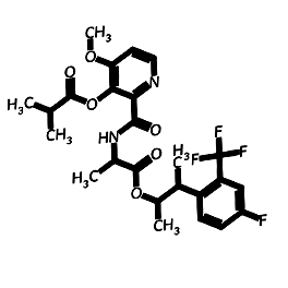 COc1ccnc(C(=O)NC(C)C(=O)OC(C)C(C)c2ccc(F)cc2C(F)(F)F)c1OC(=O)C(C)C